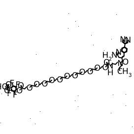 CCCN(CCCNC(=O)OCCOCCOCCOCCOCCOCCOCCOCCOCCOCCOCCC(=O)Oc1c(F)c(F)c(S(=O)(=O)O)c(F)c1F)C(=O)C1=Cc2ccc(-c3cncnc3)cc2N=C(N)C1